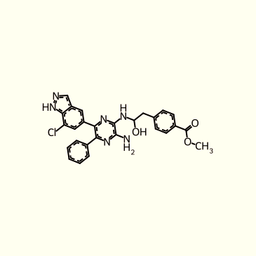 COC(=O)c1ccc(CC(O)Nc2nc(-c3cc(Cl)c4[nH]ncc4c3)c(-c3ccccc3)nc2N)cc1